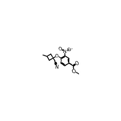 COC(=O)c1ccc(OC2(C#N)CC(C)C2)c([N+](=O)[O-])c1